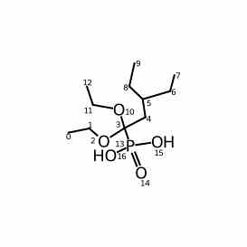 CCOC(CC(CC)CC)(OCC)P(=O)(O)O